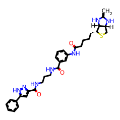 C=C1N[C@@H]2[C@@H](CS[C@@H]2CCCCC(=O)Nc2cccc(C(=O)NCCCNC(=O)c3cc(-c4ccccc4)[nH]n3)c2)N1